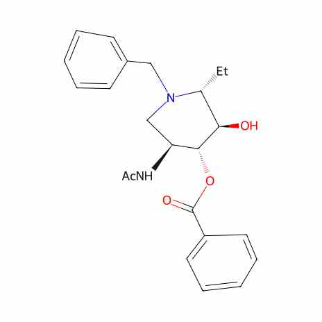 CC[C@@H]1[C@@H](O)[C@H](OC(=O)c2ccccc2)[C@@H](NC(C)=O)CN1Cc1ccccc1